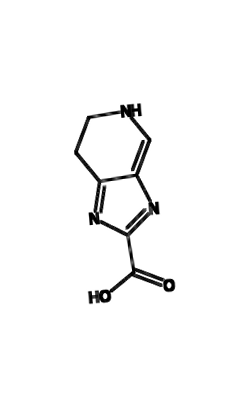 O=C(O)C1=NC2=CNCCC2=N1